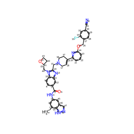 Cc1cc(NC(=O)c2ccc3c(c2)nc(CN2CC=C(c4cccc(OCc5ccc(C#N)cc5F)n4)CC2)n3C[C@@H]2CCO2)cc2cn[nH]c12